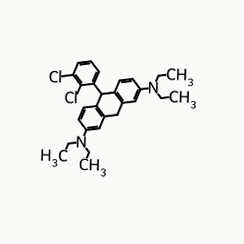 CCN(CC)c1ccc2c(c1)Cc1cc(N(CC)CC)ccc1C2c1cccc(Cl)c1Cl